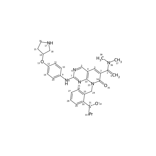 C=C(c1cc2cnc(Nc3ccc(OC4CCNC4)cc3)nc2n(Cc2ccccc2[S+]([O-])C(C)C)c1=O)N(C)C